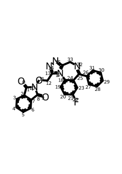 O=C1c2ccccc2C(=O)N1OCc1nnc2n1-c1ccc(F)cc1C(c1ccccc1)=NC2